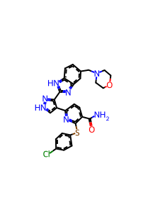 NC(=O)c1ccc(-c2c[nH]nc2-c2nc3cc(CN4CCOCC4)ccc3[nH]2)nc1Sc1ccc(Cl)cc1